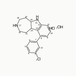 Cl.Cl.Clc1cccc(-c2cccc3c2C2CCNCCC2N3)c1